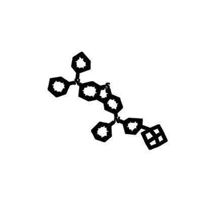 c1ccc(N(c2ccccc2)c2ccc3c(c2)sc2ccc(N(c4ccccc4)c4ccc(C56CC7CC8CC(C5)C876)cc4)cc23)cc1